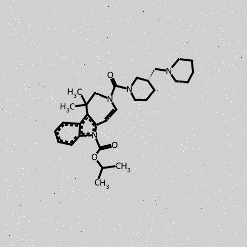 CC(C)OC(=O)n1c2c(c3ccccc31)C(C)(C)CN(C(=O)N1CCC[C@@H](CN3CCCCC3)C1)C=C2